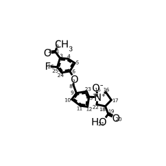 CC(=O)c1ccc(OCc2cccc([N+]3([O-])CCC(C(=O)O)C3)c2)cc1F